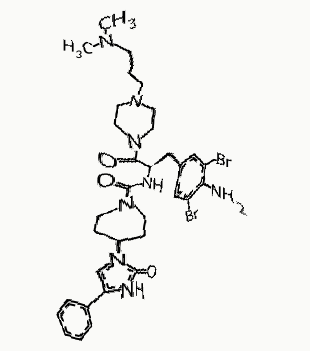 CN(C)CCCN1CCN(C(=O)[C@@H](Cc2cc(Br)c(N)c(Br)c2)NC(=O)N2CCC(n3cc(-c4ccccc4)[nH]c3=O)CC2)CC1